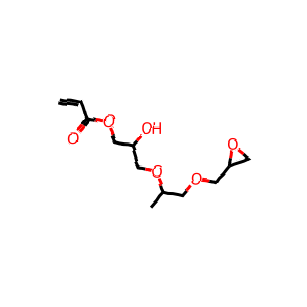 C=CC(=O)OCC(O)COC(C)COCC1CO1